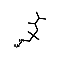 CC(C)C(C)CC(C)(C)CNN